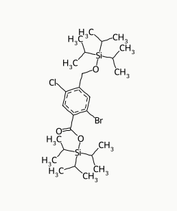 CC(C)[Si](OCc1cc(Br)c(C(=O)O[Si](C(C)C)(C(C)C)C(C)C)cc1Cl)(C(C)C)C(C)C